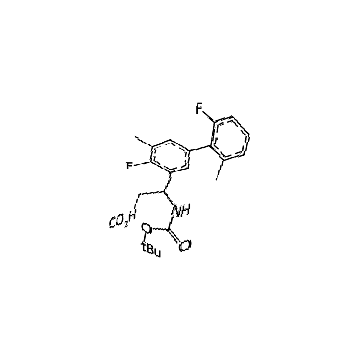 Cc1cc(-c2c(C)cccc2F)cc(C(CC(=O)O)NC(=O)OC(C)(C)C)c1F